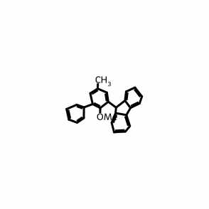 COc1c(-c2ccccc2)cc(C)cc1C1c2ccccc2-c2ccccc21